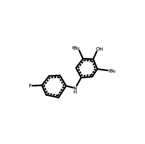 CC(C)(C)c1cc(Nc2ccc(F)cc2)cc(C(C)(C)C)c1O